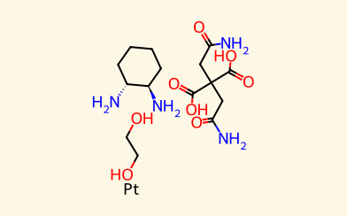 NC(=O)CC(CC(N)=O)(C(=O)O)C(=O)O.N[C@@H]1CCCC[C@H]1N.OCCO.[Pt]